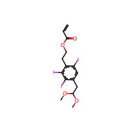 C=CC(=O)OCCc1c(I)cc(CC(OC)OC)c(I)c1I